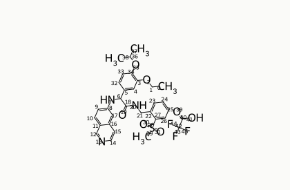 CCOc1cc(C(Nc2ccc3cnccc3c2)C(=O)NCc2ccccc2S(C)(=O)=O)ccc1OC(C)C.O=C(O)C(F)(F)F